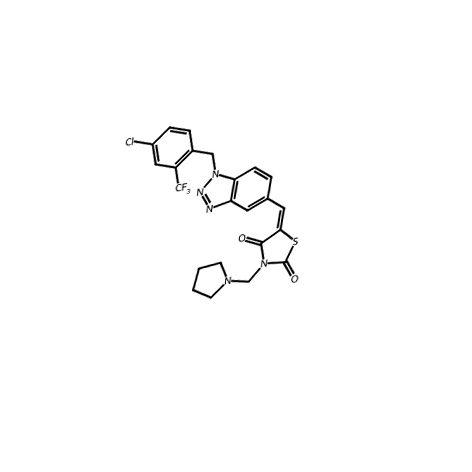 O=C1SC(=Cc2ccc3c(c2)nnn3Cc2ccc(Cl)cc2C(F)(F)F)C(=O)N1CN1CCCC1